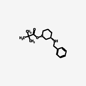 CC(C)(C)C(=O)ON1CCC[C@@H](NCc2ccccc2)C1